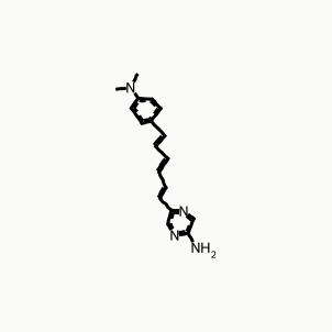 CN(C)c1ccc(/C=C/C=C/C=C/c2cnc(N)cn2)cc1